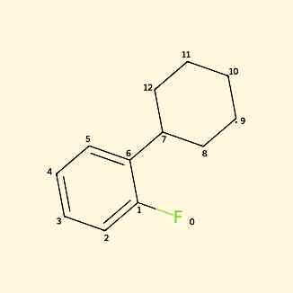 Fc1ccccc1C1C[CH]CCC1